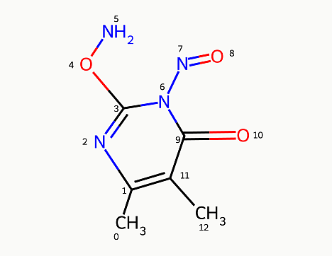 Cc1nc(ON)n(N=O)c(=O)c1C